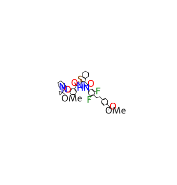 COCC1(C(=O)N2C3CCC2CN(Cc2cccc(C(=O)Nc4sc5c(c4C(=O)Nc4cc(F)c(CCc6ccc(C(=O)OC)cc6)c(F)c4)CCCC5)c2)C3)CC1